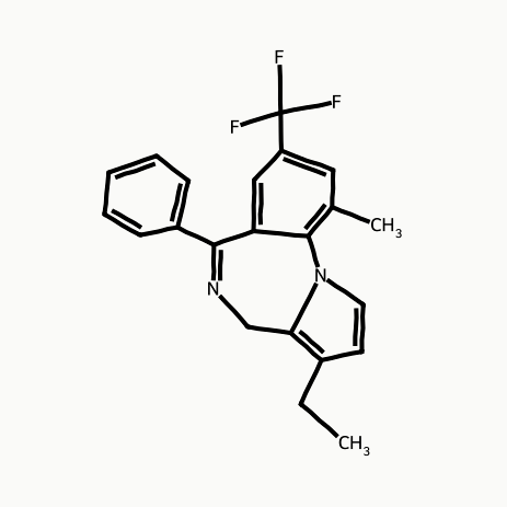 CCc1ccn2c1CN=C(c1ccccc1)c1cc(C(F)(F)F)cc(C)c1-2